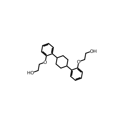 OCCOc1ccccc1C1CCC(c2ccccc2OCCO)CC1